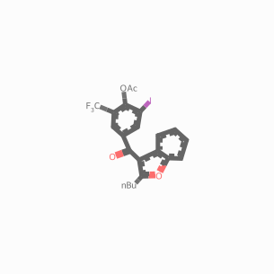 CCCCc1oc2ccccc2c1C(=O)c1cc(I)c(OC(C)=O)c(C(F)(F)F)c1